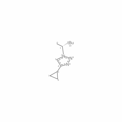 C[C@@H](n1cc(C2CC2)nn1)C(C)(C)C